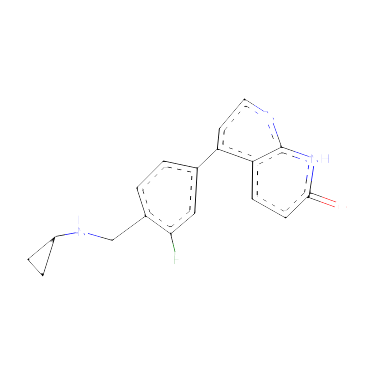 O=c1ccc2c(-c3ccc(CNC4CC4)c(F)c3)ccnc2[nH]1